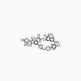 CCNC(=O)COc1cc2cc(Nc3nc(N4CCC(CN5CCN(c6ccc7c(c6)C(=O)N(C6CCC(=O)NC6=O)C7=O)CC5)CC4)ncc3Cl)ccc2n(C)c1=O